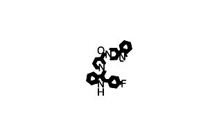 CN(C)C1(c2ccccc2)CCN(C(=O)C2CCCN(Cc3c(-c4ccc(F)cc4)[nH]c4ccccc34)C2)CC1